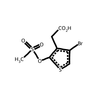 CS(=O)(=O)Oc1scc(Br)c1CC(=O)O